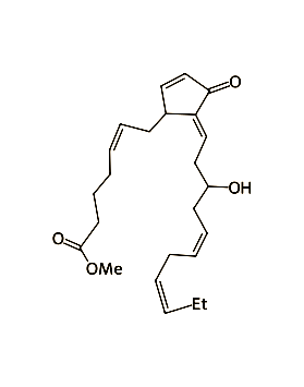 CC/C=C\C/C=C\CC(O)C/C=C1/C(=O)C=CC1C/C=C\CCCC(=O)OC